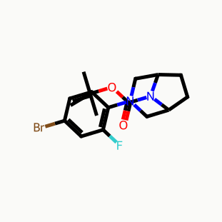 CC(C)(C)OC(=O)N1C2CCC1CN(c1ccc(Br)cc1F)C2